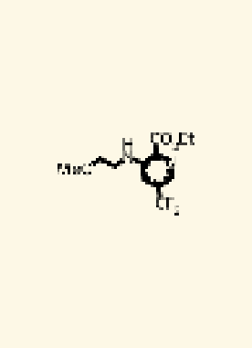 CCOC(=O)c1ncc(C(F)(F)F)cc1NCCOC